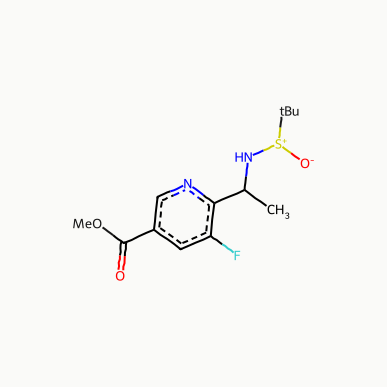 COC(=O)c1cnc(C(C)N[S+]([O-])C(C)(C)C)c(F)c1